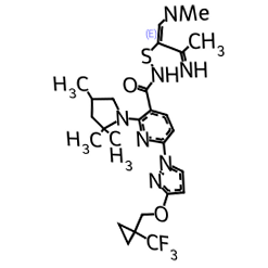 CN/C=C(/SNC(=O)c1ccc(-n2ccc(OCC3(C(F)(F)F)CC3)n2)nc1N1CC(C)CC1(C)C)C(C)=N